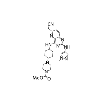 COC(=O)N1CCN(C2CCC(Nc3nc(Nc4cnn(C)c4)nc4ccc(CC#N)nc34)CC2)CC1